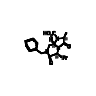 CC(C)[C@H]1C(=O)N(Cc2ccccc2)C[C@H]2N1C(=O)[C@H](C)N2C(=O)O